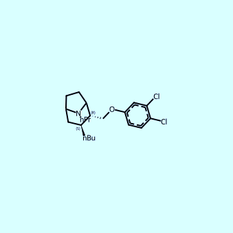 CCCC[C@H]1CC2CCC([C@@H]1COc1ccc(Cl)c(Cl)c1)N2CCC